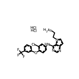 Cl.Cl.FC(F)(F)c1cccc(Oc2ccc(Nc3ncnc4ccn(CC[AsH2])c34)cc2Cl)c1